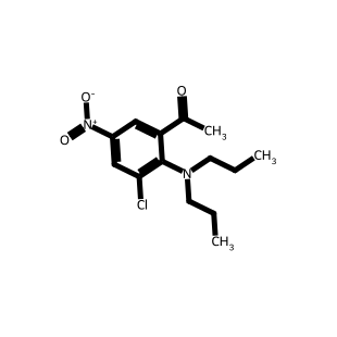 CCCN(CCC)c1c(Cl)cc([N+](=O)[O-])cc1C(C)=O